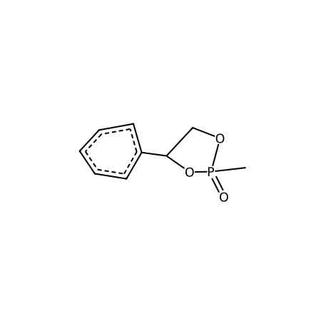 CP1(=O)OCC(c2ccccc2)O1